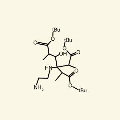 CC(C(=O)OC(C)(C)C)C(O)C(NCCN)(C(C)C(=O)OC(C)(C)C)C(C)C(=O)OC(C)(C)C